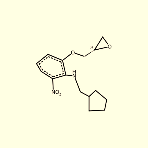 O=[N+]([O-])c1cccc(OC[C@@H]2CO2)c1NCC1CCCC1